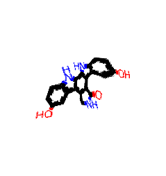 O=C1NCc2c1c1c3cc(O)ccc3[nH]c1c1[nH]c3ccc(O)cc3c21